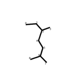 CCC(C)C[CH]C(C)C